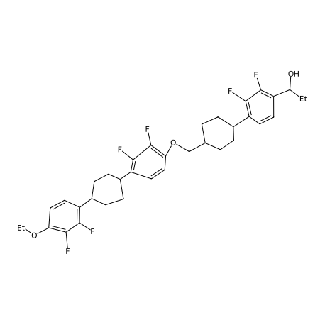 CCOc1ccc(C2CCC(c3ccc(OCC4CCC(c5ccc(C(O)CC)c(F)c5F)CC4)c(F)c3F)CC2)c(F)c1F